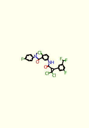 CN(C(=O)c1cc(NC(=O)C2C(c3cc(F)cc(C(F)F)c3)C2(Cl)Cl)ccc1Cl)c1ccc(F)cc1